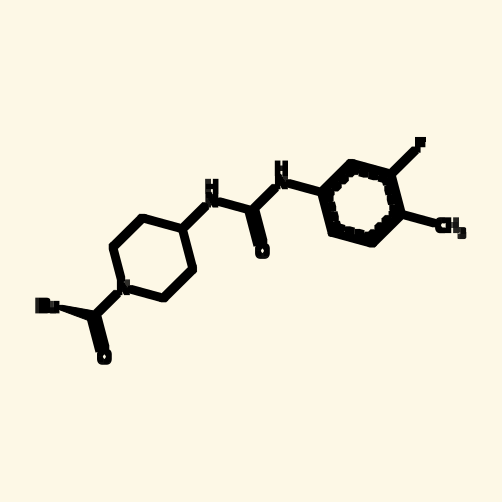 CC[C@H](C)C(=O)N1CCC(NC(=O)Nc2ccc(C)c(F)c2)CC1